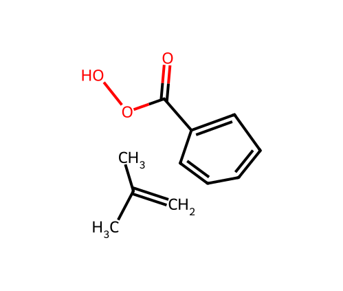 C=C(C)C.O=C(OO)c1ccccc1